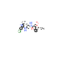 COc1ccccc1[C@@H]1OC(=O)C[C@H]1C(=O)N[C@H]1CC[C@@H](Nc2cc(C(F)(F)F)nc3ccc(Cl)cc23)CC1